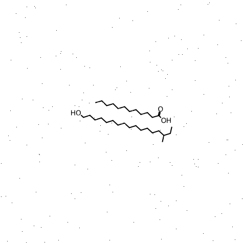 CCC(C)CCCCCCCCCCCCCCO.CCCCCCCCCCCC(=O)O